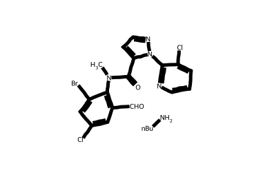 CCCCN.CN(C(=O)c1ccnn1-c1ncccc1Cl)c1c(Br)cc(Cl)cc1C=O